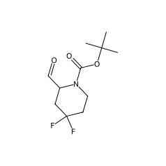 CC(C)(C)OC(=O)N1CCC(F)(F)CC1C=O